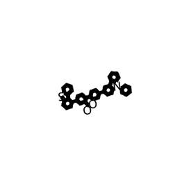 O=c1oc2cc(-c3ccc4c(c3)c3ccccc3n4-c3ccccc3)ccc2c2ccc(-c3cccc4sc5ccccc5c34)cc12